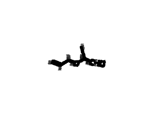 C=CCOC(C)C=O